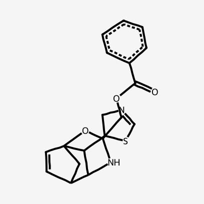 O=C(OCC1NC2C3C=CC(C3)(O1)C2C1CN=CS1)c1ccccc1